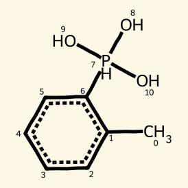 Cc1ccccc1[PH](O)(O)O